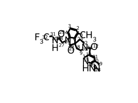 Cc1cccc2c1C1(CCN(C(=O)c3cnc4[nH]ncc4c3)CC1)C(=O)N2CC(=O)NCC(F)(F)F